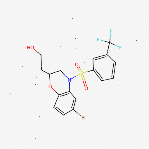 O=S(=O)(c1cccc(C(F)(F)F)c1)N1CC(CCO)Oc2ccc(Br)cc21